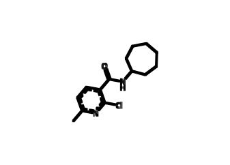 Cc1ccc(C(=O)NC2CCCCCC2)c(Cl)n1